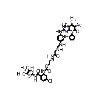 CC(=O)C1=C(C)C(P)C(/N=C(\N)NC2C=CC(NCNCC(=O)NOCCOC(=O)NC3CC(Cl)=CC=C3C(=O)NC3NC(C)=C(C)S3)=CN2)N(C2CCCC2)C1=O